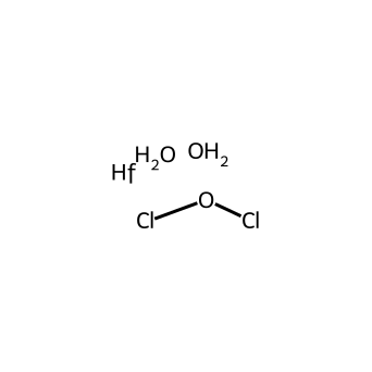 ClOCl.O.O.[Hf]